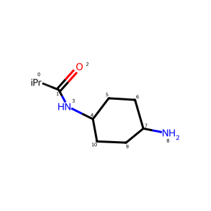 CC(C)C(=O)NC1CCC(N)CC1